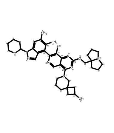 Cc1cc2c(cnn2C2CCCCO2)c(-c2ncc3c(N4CCCC5(CC(O)C5)C4)nc(OCC45CCCN4CCC5)nc3c2F)c1C